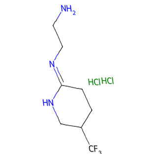 Cl.Cl.NCCN=C1CCC(C(F)(F)F)CN1